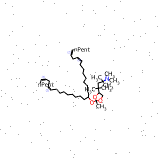 CCCCC/C=C\C/C=C\CCCCCCCCC(CCCCCCCC/C=C\C/C=C\CCCCC)OC1(C)OCC(C(C)(C)CC(C)(C)N(C)C)O1